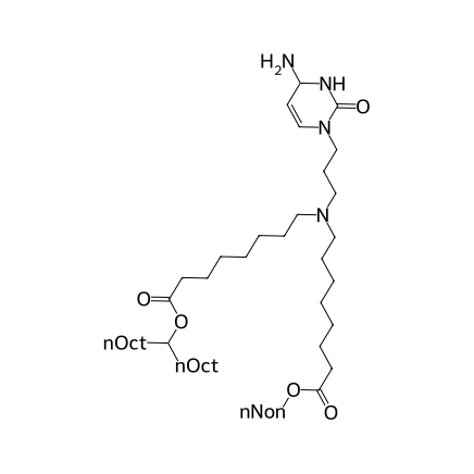 CCCCCCCCCOC(=O)CCCCCCCN(CCCCCCCC(=O)OC(CCCCCCCC)CCCCCCCC)CCCN1C=CC(N)NC1=O